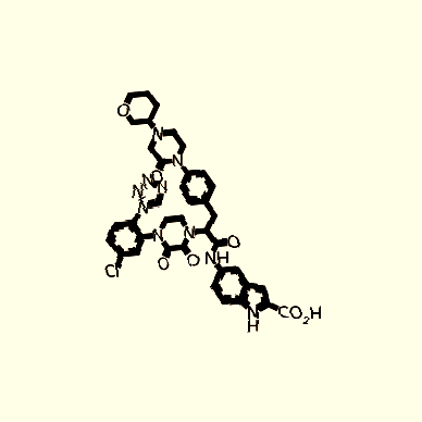 O=C(O)c1cc2cc(NC(=O)C(Cc3ccc(N4CCN(C5CCCOC5)CC4=O)cc3)N3CCN(c4cc(Cl)ccc4-n4cnnn4)C(=O)C3=O)ccc2[nH]1